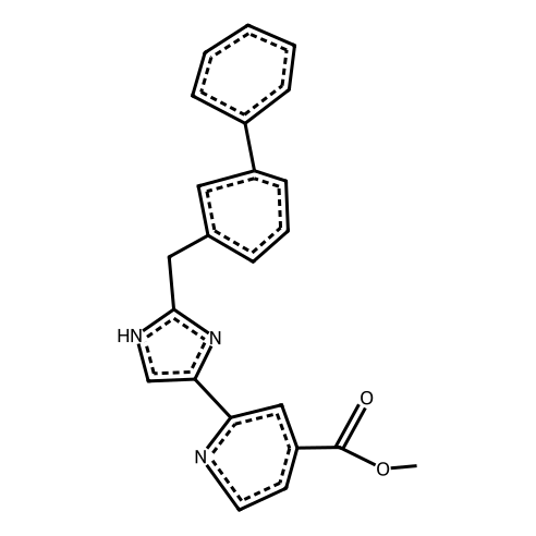 COC(=O)c1ccnc(-c2c[nH]c(Cc3cccc(-c4ccccc4)c3)n2)c1